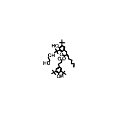 CCCCCC=C(Cc1cc(C(C)(C)C)c(O)c(C(C)(C)C)c1)C(=O)OC(=O)CCc1cc(C(C)(C)C)c(O)c(C(C)(C)C)c1.OCCO